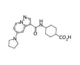 O=C(NC1CCC(C(=O)O)CC1)c1cnn2ccc(N3CCCC3)cc12